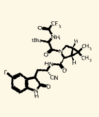 CC(C)(C)C(NC(=O)C(F)(F)F)C(=O)N1C[C@H]2[C@@H]([C@H]1C(=O)N[C@H](C#N)CC1C(=O)Nc3ccc(F)cc31)C2(C)C